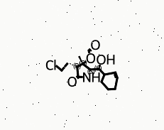 C[C@]1(OC=O)[C@@H](CCCl)C(=O)N[C@H]1[C@@H](O)C1C=CCCC1